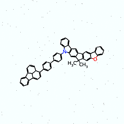 CC1(C)c2cc3oc4ccccc4c3cc2-c2cc3c4ccccc4n(-c4ccc(-c5ccc(C6=CC=C7c8ccccc8C8=CC=CC6C87)cc5)cc4)c3cc21